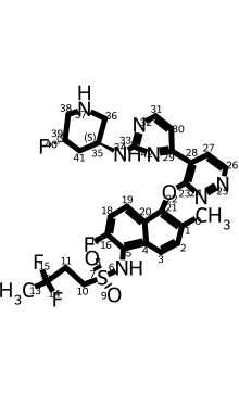 Cc1ccc2c(NS(=O)(=O)CCC(C)(F)F)c(F)ccc2c1Oc1nnccc1-c1ccnc(N[C@@H]2CNC[C@@H](F)C2)n1